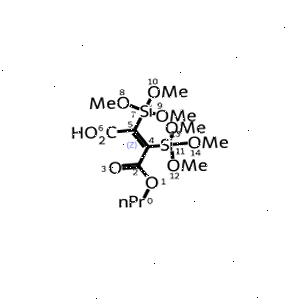 CCCOC(=O)/C(=C(\C(=O)O)[Si](OC)(OC)OC)[Si](OC)(OC)OC